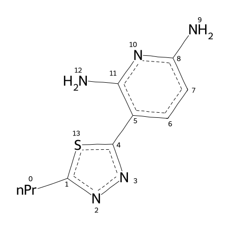 CCCc1nnc(-c2ccc(N)nc2N)s1